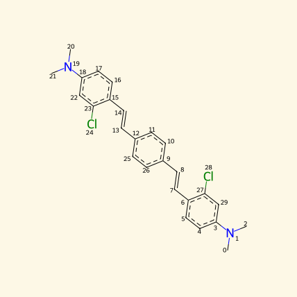 CN(C)c1ccc(C=Cc2ccc(C=Cc3ccc(N(C)C)cc3Cl)cc2)c(Cl)c1